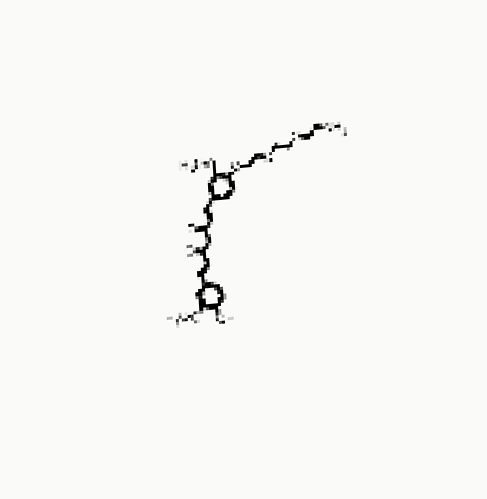 COc1cc(C=CC(=O)CC(=O)C=Cc2ccc(OCCOCCOCCN)c(OC)c2)ccc1O